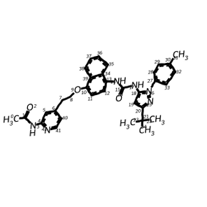 CC(=O)Nc1cc(CCOc2ccc(NC(=O)Nc3cc(C(C)(C)C)nn3-c3ccc(C)cc3)c3ccccc23)ccn1